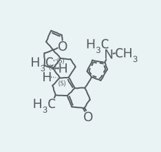 CC1C[C@@H]2C(=C3C1=CC(=O)CC3c1ccc(N(C)C)cc1)CC[C@@]1(C)[C@H]2CCC12CC=CO2